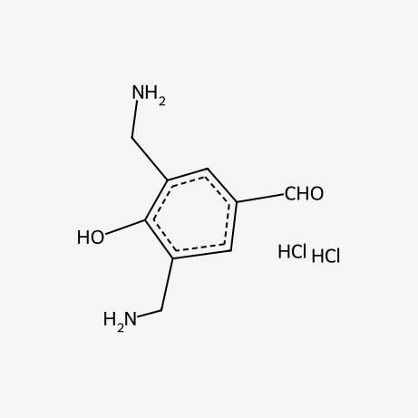 Cl.Cl.NCc1cc(C=O)cc(CN)c1O